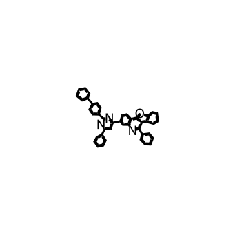 c1ccc(-c2ccc(-c3nc(-c4ccccc4)cc(-c4ccc5c(c4)nc(-c4ccccc4)c4c6ccccc6oc54)n3)cc2)cc1